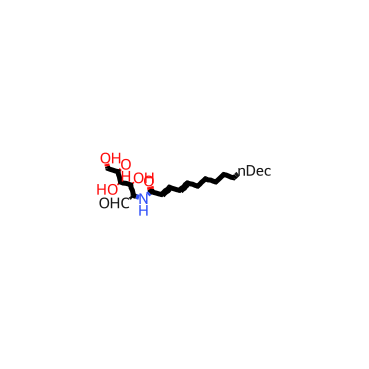 CCCCCCCCCCCCCCCC=CC=CC(=O)N[C@@H](C=O)[C@@H](O)[C@H](O)[C@H](O)CO